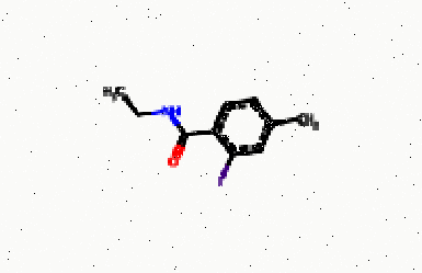 CCNC(=O)c1ccc(C)cc1I